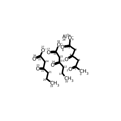 CC(=O)CC(=O)CC(=O)[O-].CCCC(=O)CC(=O)[O-].CCCC(=O)CC(=O)[O-].[Al+3]